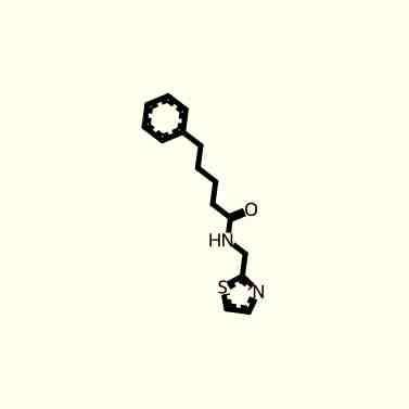 O=C(CCCCc1ccccc1)NCc1nccs1